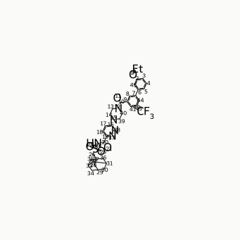 CCOc1cccc(-c2cc(C(=O)N3CCN(c4ccc(C(=O)NS(=O)(=O)CC56CC7CC(CC(C7)C5)C6)nn4)CC3)cc(C(F)(F)F)c2)c1